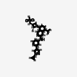 CC(C)c1ccc(N2C[C@H](CS(C)(=O)=O)[C@H]2C)c2cnc(Nc3ccnc(-c4cnn(C5CC5)c4)c3)cc12